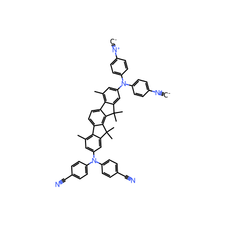 [C-]#[N+]c1ccc(N(c2ccc([N+]#[C-])cc2)c2cc(C)c3c(c2)C(C)(C)c2c-3ccc3c2C(C)(C)c2cc(N(c4ccc(C#N)cc4)c4ccc(C#N)cc4)cc(C)c2-3)cc1